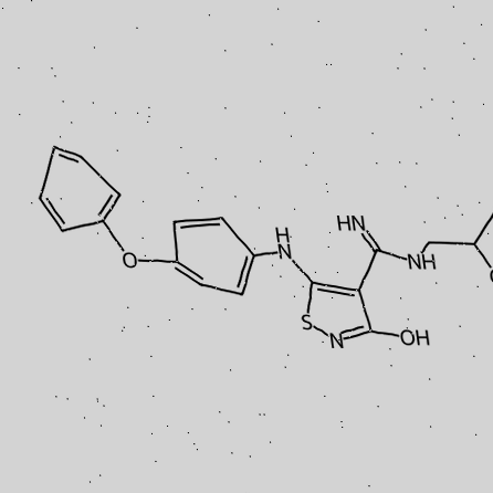 CC(O)CNC(=N)c1c(O)nsc1Nc1ccc(Oc2ccccc2)cc1